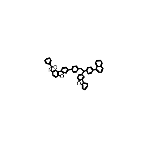 c1ccc(-c2nc3ccc4oc5cc(-c6ccc(CC(c7ccc(-c8cccc9ccccc89)cc7)c7ccc8oc9ccccc9c8c7)cc6)ccc5c4c3o2)cc1